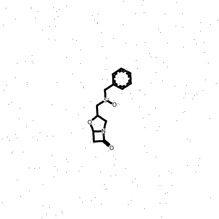 O=C1CC2OC(C[S+]([O-])Cc3ccccc3)CN12